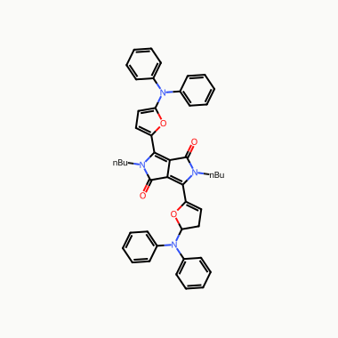 CCCCN1C(=O)C2=C(c3ccc(N(c4ccccc4)c4ccccc4)o3)N(CCCC)C(=O)C2=C1C1=CCC(N(c2ccccc2)c2ccccc2)O1